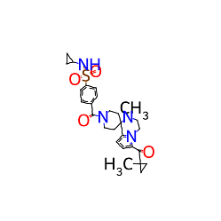 CN1CCn2c(C(=O)C3(C)CC3)ccc2C12CCN(C(=O)c1ccc(S(=O)(=O)NC3CC3)cc1)CC2